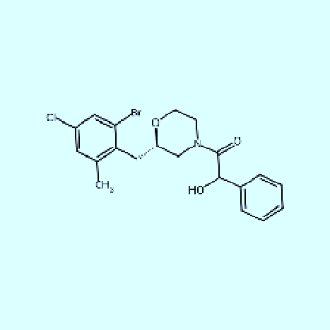 Cc1cc(Cl)cc(Br)c1C[C@H]1CN(C(=O)C(O)c2ccccc2)CCO1